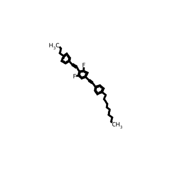 CCCCCCCCCc1ccc(C#Cc2cc(F)c(C#Cc3ccc(CCC)cc3)c(F)c2)cc1